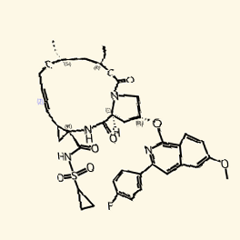 COc1ccc2c(O[C@@H]3C[C@H]4C(=O)N[C@]5(C(=O)NS(=O)(=O)C6CC6)CC5/C=C\CC[C@H](C)C[C@@H](C)CC(=O)N4C3)nc(-c3ccc(F)cc3)cc2c1